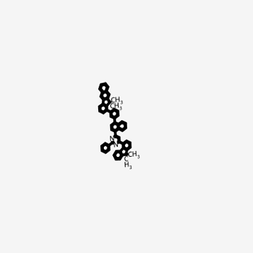 CC1(C)c2ccccc2-c2c(-c3cc(-c4ccc(-c5cccc(-c6cccc7c6C(C)(C)c6cc8ccccc8cc6-7)c5)c5ccccc45)nc(-c4ccccc4)n3)cccc21